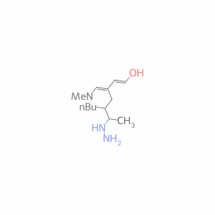 CCCCC(CC(/C=C/O)=C\NC)C(C)NN